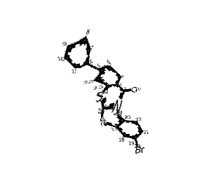 O=c1c2ccc(-c3ccccc3)cc2sc2nc3cc(Br)ccc3n12